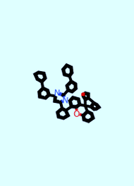 c1ccc(-c2cccc(-c3cc(-c4ccccc4-c4cccc5c4Oc4ccccc4C54c5ccccc5-c5ccccc54)nc(-c4cccc(-c5ccccc5)c4)n3)c2)cc1